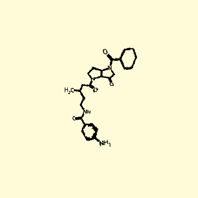 CC(CCNC(=O)c1ccc(N)cc1)CC(=O)N1CCC2C1C(=O)CN2C(=O)C1CCCCC1